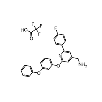 NCc1cc(Oc2cccc(Oc3ccccc3)c2)nc(-c2ccc(F)cc2)c1.O=C(O)C(F)(F)F